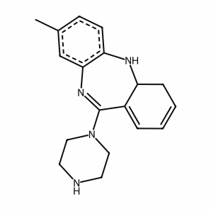 Cc1ccc2c(c1)N=C(N1CCNCC1)C1=CC=CCC1N2